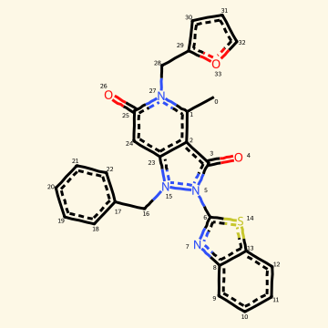 Cc1c2c(=O)n(-c3nc4ccccc4s3)n(Cc3ccccc3)c2cc(=O)n1Cc1ccco1